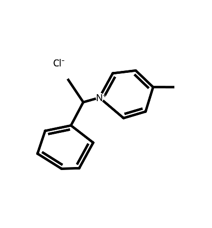 Cc1cc[n+](C(C)c2ccccc2)cc1.[Cl-]